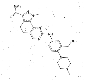 CNC(=O)c1nn(C)c2c1CCc1cnc(Nc3ccc(N4CCN(C)CC4)c(CO)c3)nc1-2